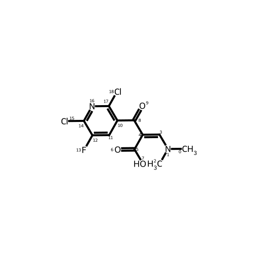 CN(C)/C=C(\C(=O)O)C(=O)c1cc(F)c(Cl)nc1Cl